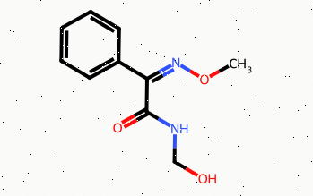 CON=C(C(=O)NCO)c1ccccc1